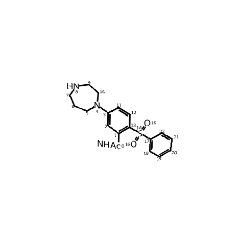 CC(=O)Nc1cc(N2CCCNCC2)ccc1S(=O)(=O)c1ccccc1